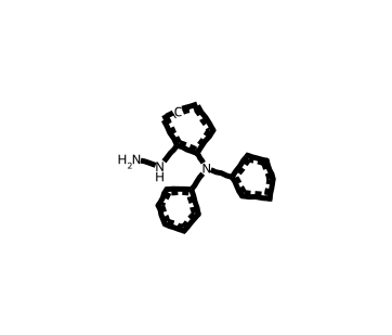 NNc1ccccc1N(c1ccccc1)c1ccccc1